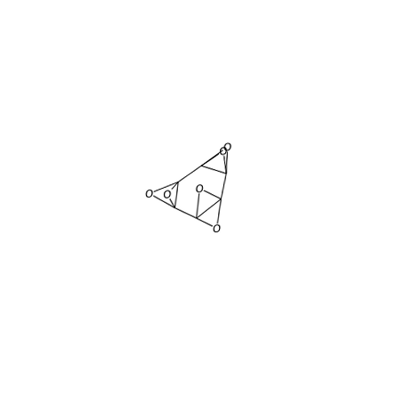 O1C23OC12C12OC1(O2)C12OC31O2